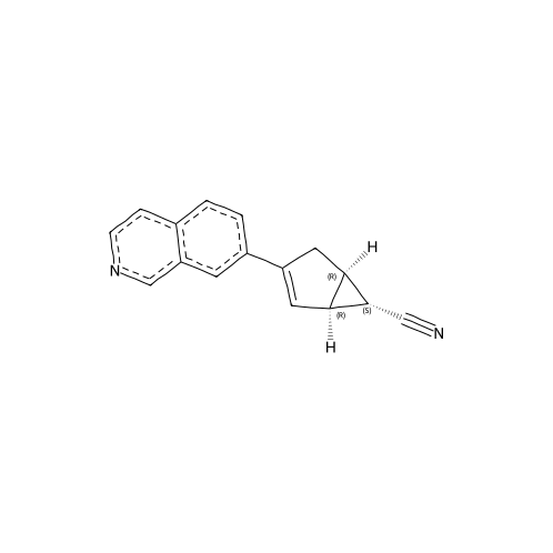 N#C[C@@H]1[C@H]2C=C(c3ccc4ccncc4c3)C[C@@H]12